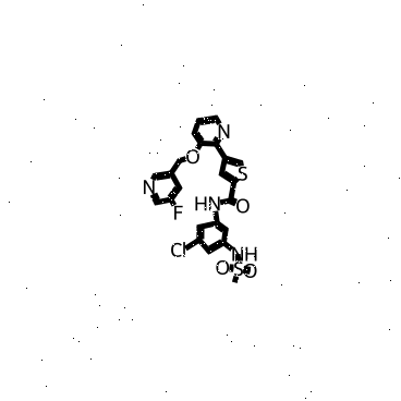 CS(=O)(=O)Nc1cc(Cl)cc(NC(=O)c2cc(-c3ncccc3OCc3cncc(F)c3)cs2)c1